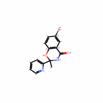 CC1(c2ccccn2)NC(=O)c2cc(Br)ccc2O1